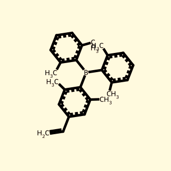 C=Cc1cc(C)c(B(c2c(C)cccc2C)c2c(C)cccc2C)c(C)c1